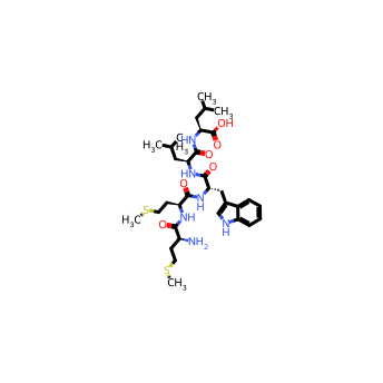 CSCC[C@H](NC(=O)[C@@H](N)CCSC)C(=O)N[C@@H](Cc1c[nH]c2ccccc12)C(=O)N[C@@H](CC(C)C)C(=O)N[C@@H](CC(C)C)C(=O)O